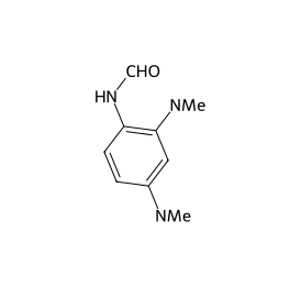 CNc1ccc(NC=O)c(NC)c1